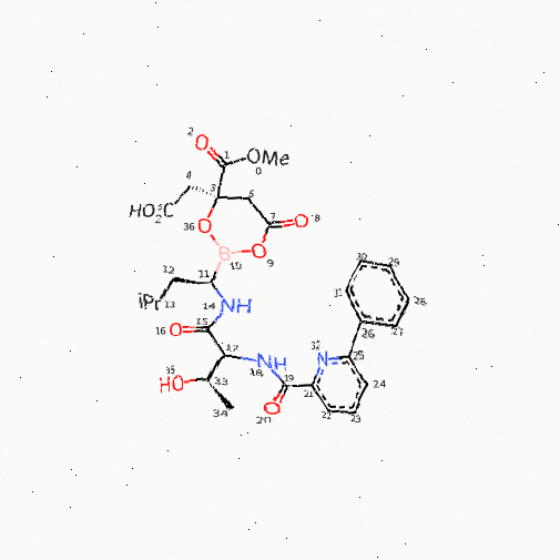 COC(=O)[C@@]1(CC(=O)O)CC(=O)OB([C@H](CC(C)C)NC(=O)C(NC(=O)c2cccc(-c3ccccc3)n2)[C@@H](C)O)O1